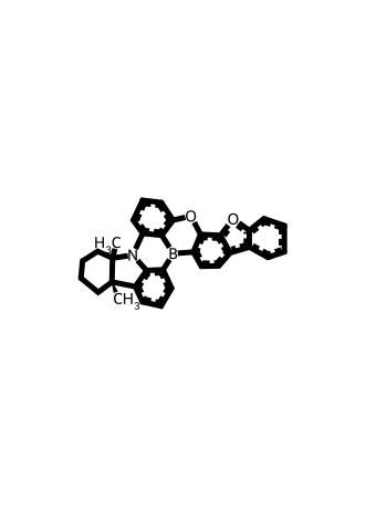 CC12CCCC[C@@]1(C)c1cccc3c1N2c1cccc2c1B3c1ccc3c(oc4ccccc43)c1O2